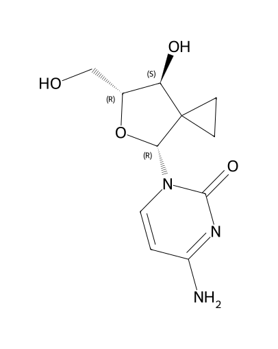 Nc1ccn([C@@H]2O[C@H](CO)[C@@H](O)C23CC3)c(=O)n1